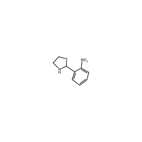 O=[N+]([O-])c1ccccc1C1NCCS1